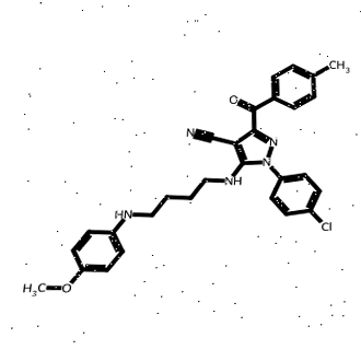 COc1ccc(NCCCCNc2c(C#N)c(C(=O)c3ccc(C)cc3)nn2-c2ccc(Cl)cc2)cc1